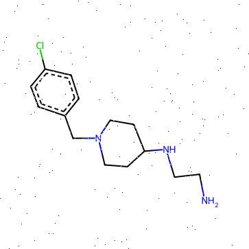 NCCNC1CCN(Cc2ccc(Cl)cc2)CC1